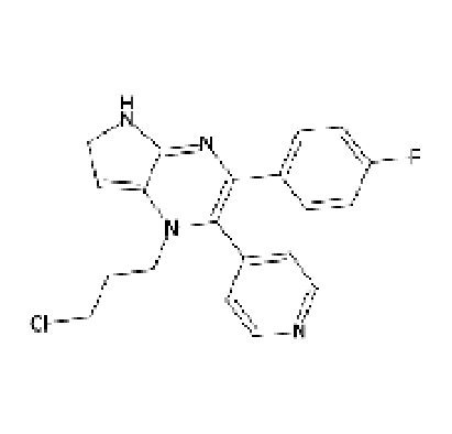 Fc1ccc(C2=C(c3ccncc3)N(CCCCl)C3=CCNC3=N2)cc1